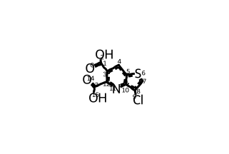 O=C(O)c1cc2scc(Cl)c2nc1C(=O)O